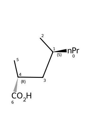 CCC[C@H](C)C[C@@H](C)C(=O)O